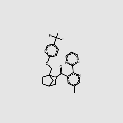 Cc1cnc(-c2ncccn2)c(C(=O)N2CC3CCC2(COc2ccc(C(F)(F)F)cn2)C3)c1